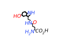 N[C@@H](CCC(=O)NCCc1c[nH]c2ccc(O)cc12)C(=O)O